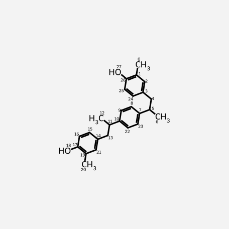 Cc1cc(CC(C)c2ccc(C(C)Cc3ccc(O)c(C)c3)cc2)ccc1O